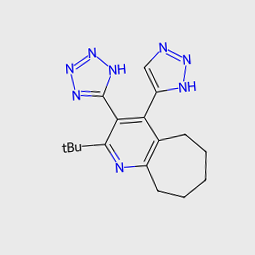 CC(C)(C)c1nc2c(c(-c3cnn[nH]3)c1-c1nnn[nH]1)CCCCC2